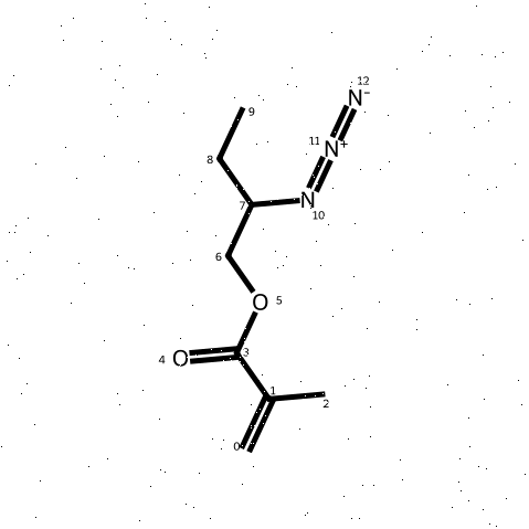 C=C(C)C(=O)OCC(CC)N=[N+]=[N-]